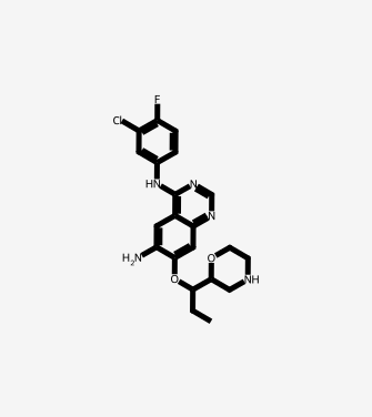 CCC(Oc1cc2ncnc(Nc3ccc(F)c(Cl)c3)c2cc1N)C1CNCCO1